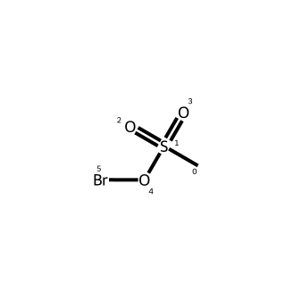 CS(=O)(=O)OBr